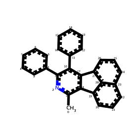 Cc1nc(-c2ccccc2)c(-c2ccccc2)c2c1-c1cccc3cccc-2c13